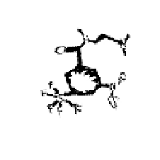 CN(C)CCN(C)C(=O)c1cc([N+](=O)[O-])cc(S(F)(F)(F)(F)F)c1